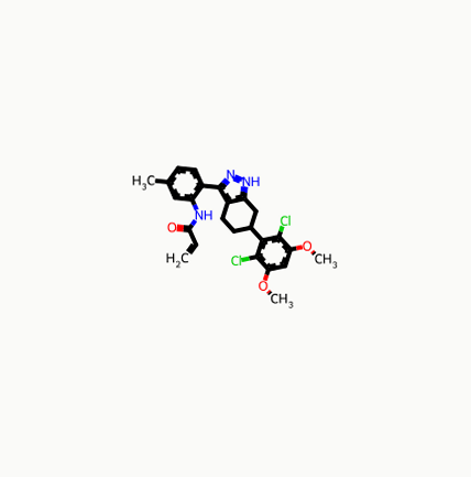 C=CC(=O)Nc1cc(C)ccc1-c1n[nH]c2c1CCC(c1c(Cl)c(OC)cc(OC)c1Cl)C2